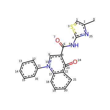 Cc1csc(NC(=O)c2cn(-c3ccccc3)c3ccccc3c2=O)n1